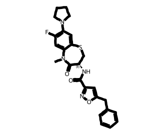 CN1C(=O)[C@@H](NC(=O)c2cc(Cc3ccccc3)on2)CSc2cc(N3CCCC3)c(F)cc21